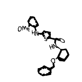 COc1ccccc1Nc1ccc(C(=O)N[C@H]2CCC[C@@H]2OCc2ccccc2)s1